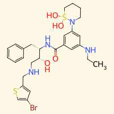 CCNc1cc(C(=O)N[C@@H](Cc2ccccc2)[C@H](O)CNCc2cc(Br)cs2)cc(N2CCCCS2(O)O)c1